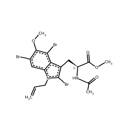 C=CCn1c(Br)c(C[C@H](NC(C)=O)C(=O)OC)c2c(Br)c(OC)c(Br)cc21